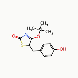 C[Si](C)(C)OC1=NC(=O)SC1Cc1ccc(O)cc1